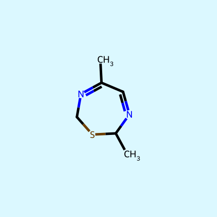 CC1=NCSC(C)N=C1